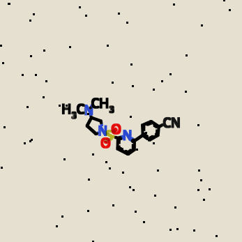 CN(C)C1CCN(S(=O)(=O)c2cccc(-c3ccc(C#N)cc3)n2)C1